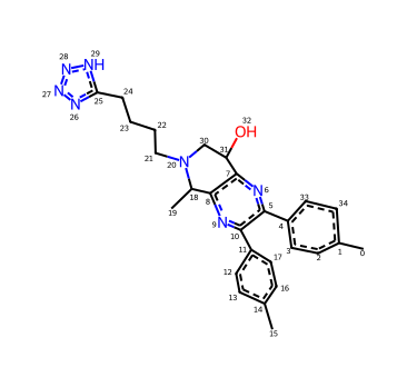 Cc1ccc(-c2nc3c(nc2-c2ccc(C)cc2)C(C)N(CCCCc2nnn[nH]2)CC3O)cc1